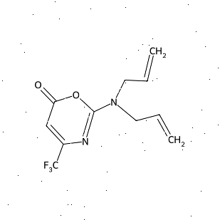 C=CCN(CC=C)c1nc(C(F)(F)F)cc(=O)o1